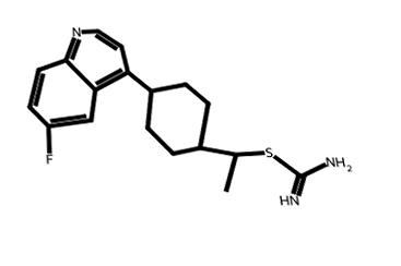 CC(SC(=N)N)C1CCC(c2ccnc3ccc(F)cc23)CC1